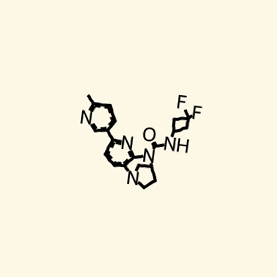 Cc1ccc(-c2ccc3c(n2)N(C(=O)NC2CC(F)(F)C2)C2CCN3C2)cn1